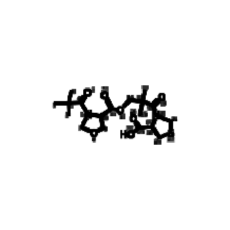 CC(C)(C)C(=O)N1COCC1C(=O)OCC(C)(C)C(=O)N1CSC[C@H]1C(=O)O